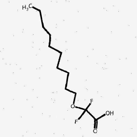 CCCCCCCCCCOC(F)(F)C(=O)O